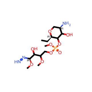 CC[C@H]1OC[C@@H](N)C(O)C1OP(=O)(OC)OCC(OC)C(O)[C@H](N=N)OC